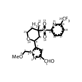 COCn1nc(C=O)cc1C1CC(C)(S(=O)(=O)c2cccc(C(F)(F)F)n2)CCO1